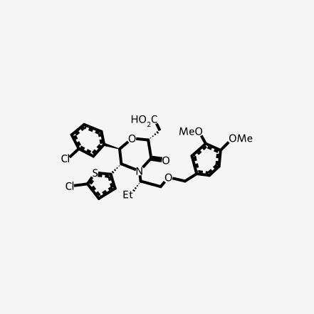 CC[C@@H](COCc1ccc(OC)c(OC)c1)N1C(=O)[C@@H](CC(=O)O)O[C@H](c2cccc(Cl)c2)[C@H]1c1ccc(Cl)s1